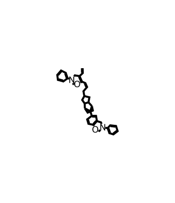 C=CC1=C(/C=C\CC2CC3C(C2)C2CCC3C2c2ccc3c(c2)CN(c2ccccc2)CO3)OCN(c2ccccc2)C1